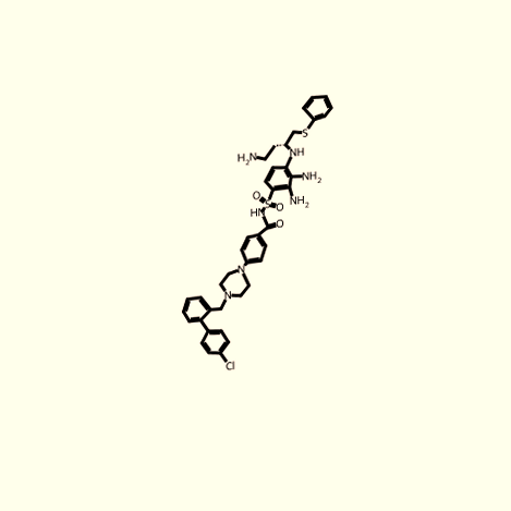 NCC[C@H](CSc1ccccc1)Nc1ccc(S(=O)(=O)NC(=O)c2ccc(N3CCN(Cc4ccccc4-c4ccc(Cl)cc4)CC3)cc2)c(N)c1N